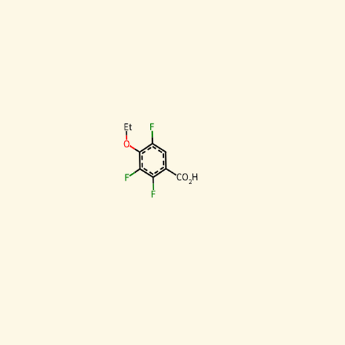 CCOc1c(F)cc(C(=O)O)c(F)c1F